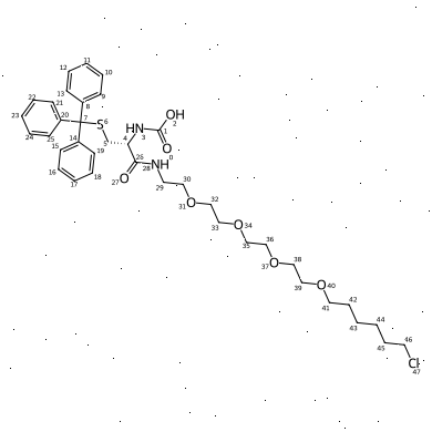 O=C(O)N[C@@H](CSC(c1ccccc1)(c1ccccc1)c1ccccc1)C(=O)NCCOCCOCCOCCOCCCCCCCl